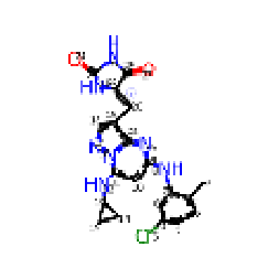 Cc1ccc(Cl)cc1Nc1cc(NC2CC2)n2ncc(/C=C3\NC(=O)NC3=O)c2n1